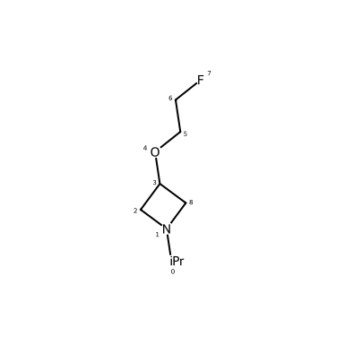 CC(C)N1CC(OCCF)C1